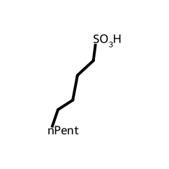 CCCCCCCCCS(=O)(=O)O